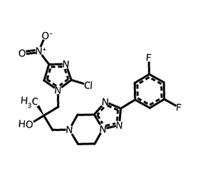 C[C@](O)(CN1CCn2nc(-c3cc(F)cc(F)c3)nc2C1)Cn1cc([N+](=O)[O-])nc1Cl